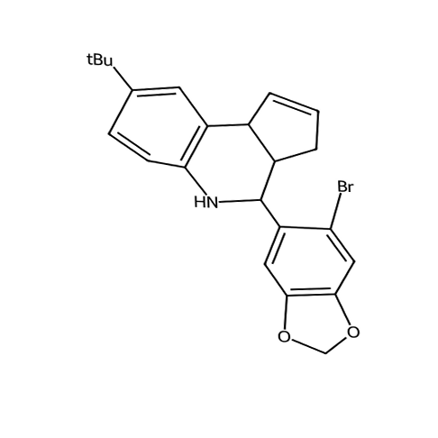 CC(C)(C)c1ccc2c(c1)C1C=CCC1C(c1cc3c(cc1Br)OCO3)N2